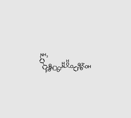 NCc1ccc(-c2ccc(F)c(S(=O)(=O)N3CCC4(CC3)C[C@@H](NC[C@H](O)COc3cccc(S(=O)(=O)C5(CO)CC5)c3)CO4)c2)cc1